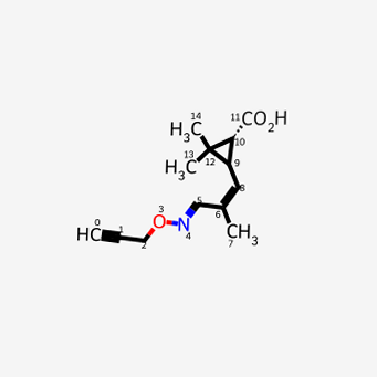 C#CCON=CC(C)=CC1[C@@H](C(=O)O)C1(C)C